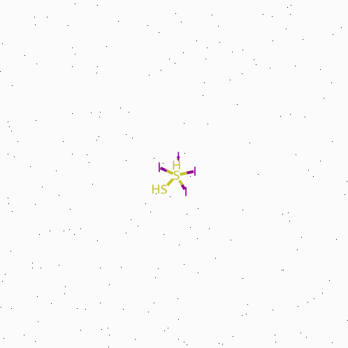 S[SH](I)(I)(I)I